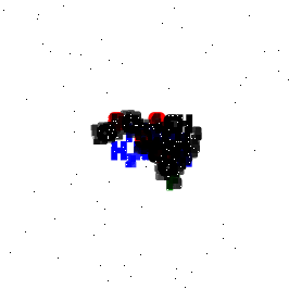 CC(C)C(=O)N(NCc1ccc(OC2CC3CCC2C3)cc1)C(NC(Oc1ccc(F)cc1)c1cccnc1)C(C)C(N)=O